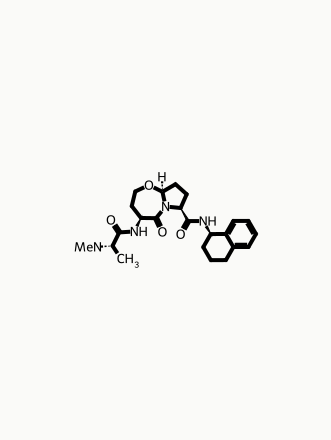 CN[C@@H](C)C(=O)N[C@H]1CCO[C@H]2CC[C@@H](C(=O)N[C@@H]3CCCc4ccccc43)N2C1=O